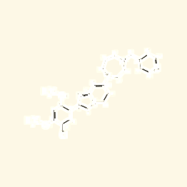 COc1cc(OC)c(-c2cn3ccc(N4CCCN(Cc5ccncc5)CC4)cc3n2)cc1Cl